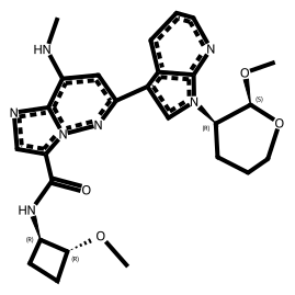 CNc1cc(-c2cn([C@@H]3CCCO[C@@H]3OC)c3ncccc23)nn2c(C(=O)N[C@@H]3CC[C@H]3OC)cnc12